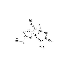 Cc1cn([C@@]2(N=[N+]=[N-])CC[C@@H](CO)O2)c(=O)[nH]c1=O